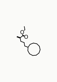 C=C(CCCC1CCCCCCCCCC1)C(=O)OCC